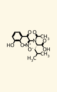 CC(=O)N(c1c(=O)c2cccc(O)c2o[n+]1[O-])[C@@H](CC(C)C)C(=O)O